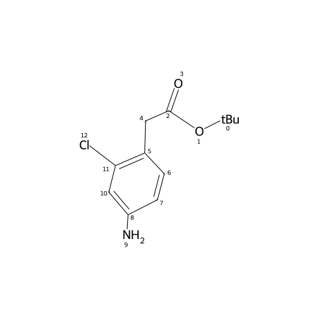 CC(C)(C)OC(=O)Cc1ccc(N)cc1Cl